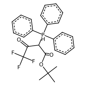 CC(C)(C)OC(=O)C(C(=O)C(F)(F)F)[PH](c1ccccc1)(c1ccccc1)c1ccccc1